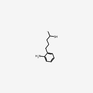 [CH]C(S)CCCc1ccccc1N